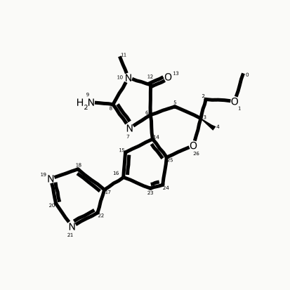 COC[C@@]1(C)CC2(N=C(N)N(C)C2=O)c2cc(-c3cncnc3)ccc2O1